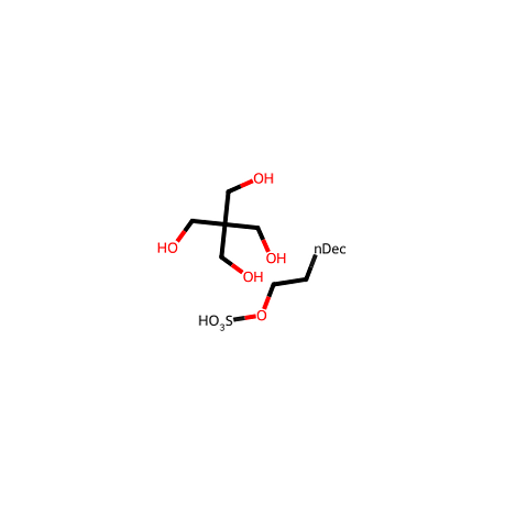 CCCCCCCCCCCCOS(=O)(=O)O.OCC(CO)(CO)CO